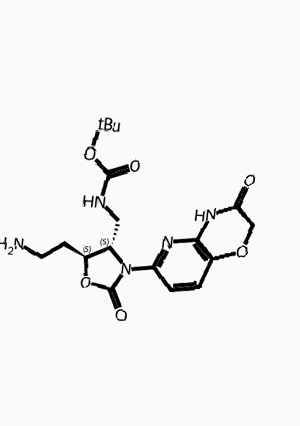 CC(C)(C)OC(=O)NC[C@H]1[C@H](CCN)OC(=O)N1c1ccc2c(n1)NC(=O)CO2